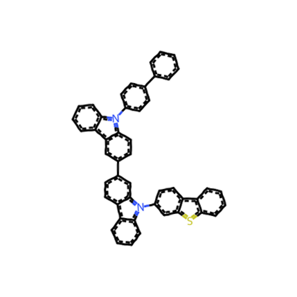 c1ccc(-c2ccc(-n3c4ccccc4c4cc(-c5ccc6c7ccccc7n(-c7ccc8c(c7)sc7ccccc78)c6c5)ccc43)cc2)cc1